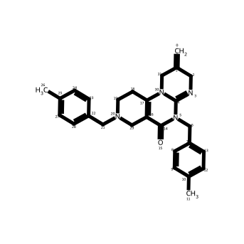 C=C1CN=C2N(Cc3ccc(C)cc3)C(=O)C3=C(CCN(Cc4ccc(C)cc4)C3)N2C1